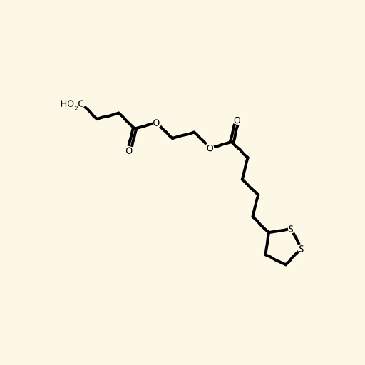 O=C(O)CCC(=O)OCCOC(=O)CCCCC1CCSS1